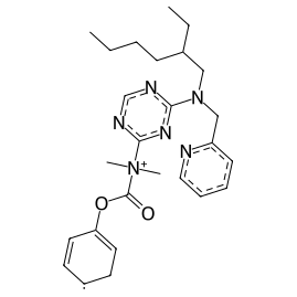 CCCCC(CC)CN(Cc1ccccn1)c1ncnc([N+](C)(C)C(=O)OC2=CC[CH]C=C2)n1